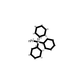 CCC[PH](C1CCCCC1)(C1CCCCC1)C1CCCCC1